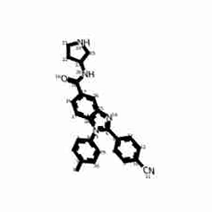 Cc1ccc(-n2c(-c3ccc(C#N)cc3)nc3cc(C(=O)NC4CCNC4)ccc32)cc1